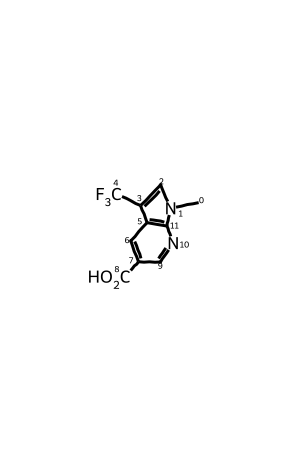 Cn1cc(C(F)(F)F)c2cc(C(=O)O)cnc21